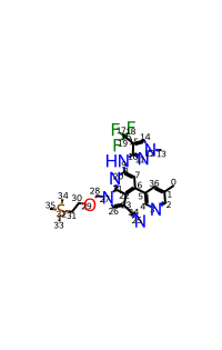 Cc1cncc(-c2cc(Nc3nn(C)cc3C(F)(F)F)nc3c2c(C#N)cn3COCCS(C)(C)C)c1